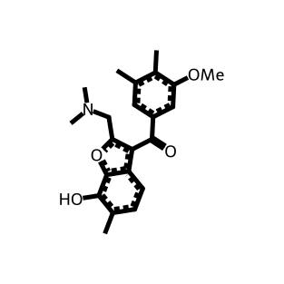 COc1cc(C(=O)c2c(CN(C)C)oc3c(O)c(C)ccc23)cc(C)c1C